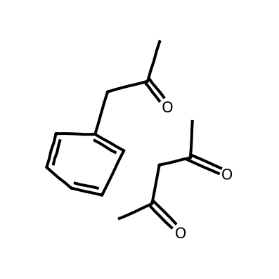 CC(=O)CC(C)=O.CC(=O)Cc1ccccc1